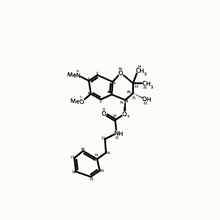 CNc1cc2c(cc1OC)[C@H](OC(=O)NCCc1ccccc1)[C@@H](O)C(C)(C)O2